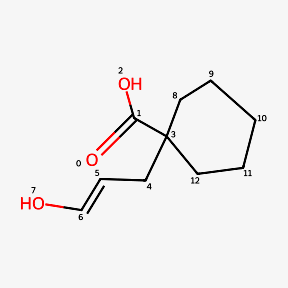 O=C(O)C1(CC=CO)CCCCC1